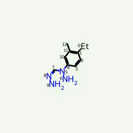 CCc1ccc(N(N)/C=N\N)cc1C